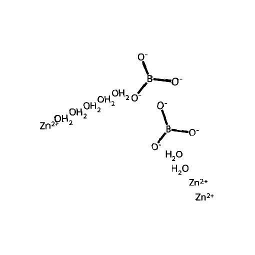 O.O.O.O.O.O.O.[O-]B([O-])[O-].[O-]B([O-])[O-].[Zn+2].[Zn+2].[Zn+2]